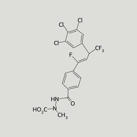 CN(NC(=O)c1ccc(C(F)=CC(c2cc(Cl)c(Cl)c(Cl)c2)C(F)(F)F)cc1)C(=O)O